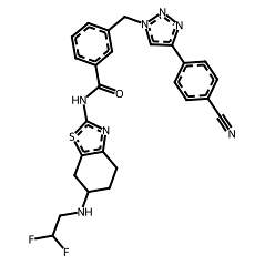 N#Cc1ccc(-c2cn(Cc3cccc(C(=O)Nc4nc5c(s4)CC(NCC(F)F)CC5)c3)nn2)cc1